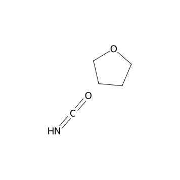 C1CCOC1.N=C=O